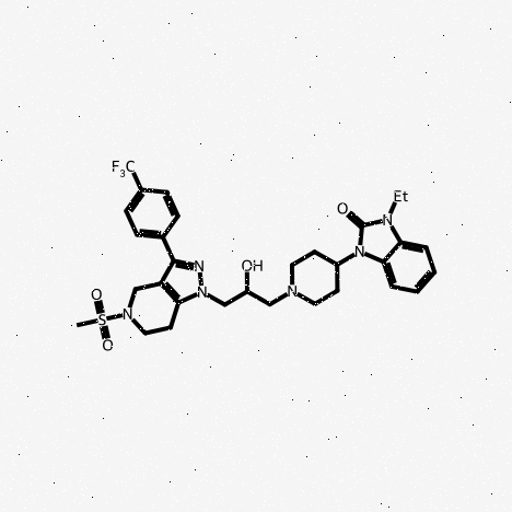 CCn1c(=O)n(C2CCN(CC(O)Cn3nc(-c4ccc(C(F)(F)F)cc4)c4c3CCN(S(C)(=O)=O)C4)CC2)c2ccccc21